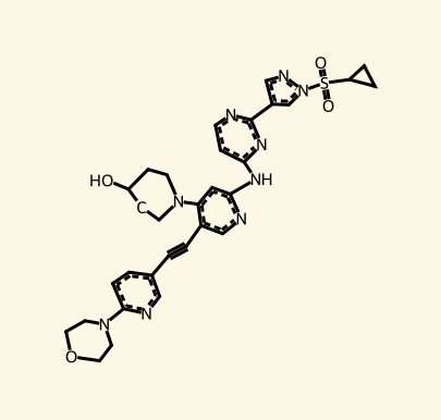 O=S(=O)(C1CC1)n1cc(-c2nccc(Nc3cc(N4CCC(O)CC4)c(C#Cc4ccc(N5CCOCC5)nc4)cn3)n2)cn1